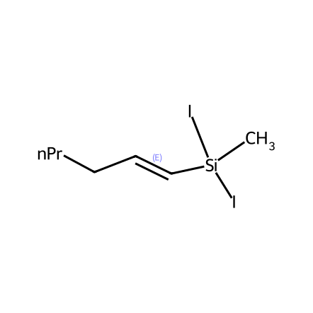 CCCC/C=C/[Si](C)(I)I